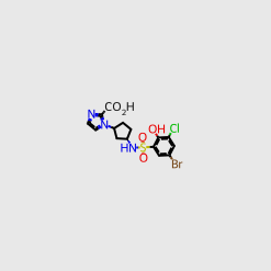 O=C(O)c1nccn1C1CC[C@@H](NS(=O)(=O)c2cc(Br)cc(Cl)c2O)C1